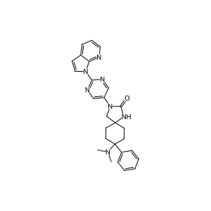 CN(C)C1(c2ccccc2)CCC2(CC1)CN(c1cnc(-n3ccc4cccnc43)nc1)C(=O)N2